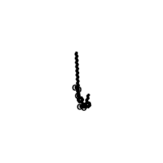 CCCCCCCCCCCCCCCCCC(=O)OCCOc1ccc(C2C(=O)Oc3cccc(CCCC)c32)cc1